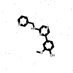 COc1cc(-c2cncc(NCc3cccnc3)n2)ccc1O